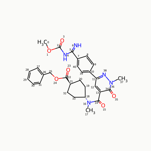 COC(=O)NC(=N)c1ccc(-c2cc(C(=O)N(C)[C@H]3CC[C@H](C(=O)OCc4ccccc4)CC3)c(=O)n(C)n2)cc1